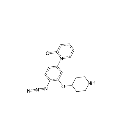 [N-]=[N+]=Nc1ccc(-n2ccccc2=O)cc1OC1CCNCC1